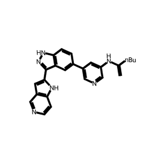 C=C(CCCC)Nc1cncc(-c2ccc3[nH]nc(-c4cc5cnccc5[nH]4)c3c2)c1